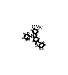 COc1ccc2c3cc4c(cc3n(-c3ccccn3)c2c1)sc1ccccc14